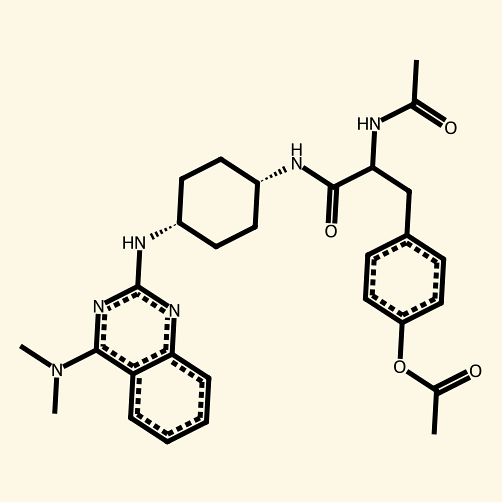 CC(=O)NC(Cc1ccc(OC(C)=O)cc1)C(=O)N[C@H]1CC[C@@H](Nc2nc(N(C)C)c3ccccc3n2)CC1